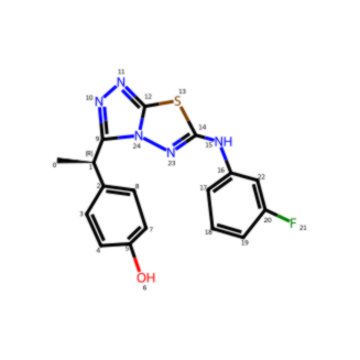 C[C@H](c1ccc(O)cc1)c1nnc2sc(Nc3cccc(F)c3)nn12